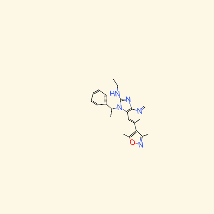 C=Nc1nc(NCC)n(C(C)c2ccccc2)c1/C=C(\C)c1c(C)noc1C